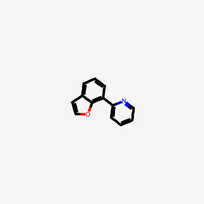 [c]1coc2c(-c3ccccn3)cccc12